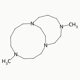 CN1CCCCN2CCCN(C)CCN(CCC1)CC2